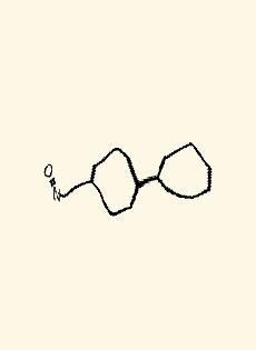 O=NC1CCC(C2CCCCC2)CC1